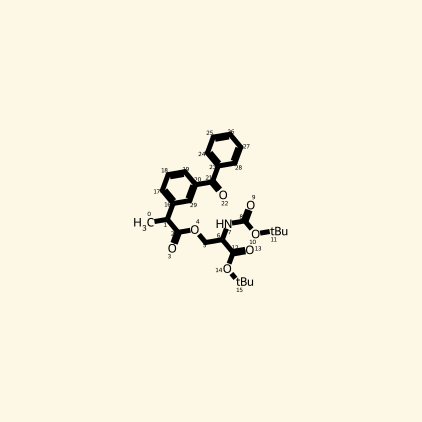 CC(C(=O)OCC(NC(=O)OC(C)(C)C)C(=O)OC(C)(C)C)c1cccc(C(=O)c2ccccc2)c1